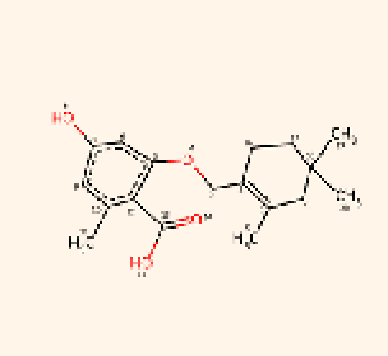 CC1=C(COc2cc(O)cc(C)c2C(=O)O)CCC(C)(C)C1